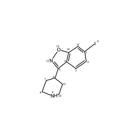 Ic1ccc2c(C3CCNCC3)noc2c1